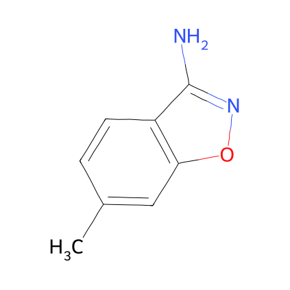 Cc1ccc2c(N)noc2c1